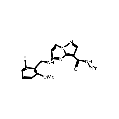 CCCNC(=O)c1cnn2ccc(NCc3c(F)cccc3OC)nc12